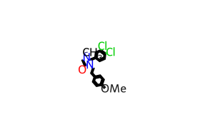 COc1ccc(CCN2C(=O)CN(C)C2c2ccc(Cl)c(Cl)c2)cc1